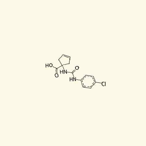 O=C(Nc1ccc(Cl)cc1)NC1(C(=O)O)CC=CC1